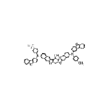 Cc1ccc(N(c2ccc3cc4c(cc3c2)oc2cc3oc5cc6cc(N(c7ccc(C)cc7)c7ccc8oc9ccccc9c8c7)ccc6cc5c3c(C)c24)c2ccc3oc4ccccc4c3c2)cc1